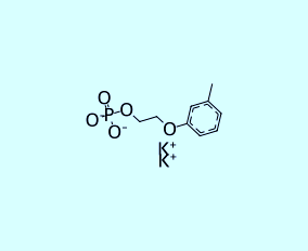 Cc1cccc(OCCOP(=O)([O-])[O-])c1.[K+].[K+]